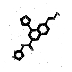 NN=Cc1ccc2cc(C(=O)Nc3cc[nH]n3)cc(-c3ccoc3)c2c1